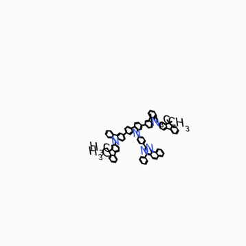 CC1(C)c2ccccc2-c2ccc(-n3c4ccccc4c4cc(-c5ccc6c7ccc(-c8ccc9c(c8)c8ccccc8n9-c8ccc9c(c8)C(C)(C)c8ccccc8-9)cc7n(-c7ccc(-c8nc(-c9ccccc9)c9ccc%10ccccc%10c9n8)cc7)c6c5)ccc43)cc21